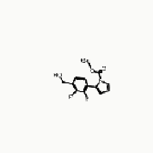 CC(C)(C)OC(=O)n1cccc1-c1ccc(CO)c(F)c1F